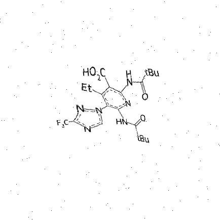 CCc1c(C(=O)O)c(NC(=O)C(C)(C)C)nc(NC(=O)C(C)(C)C)c1-n1cnc(C(F)(F)F)n1